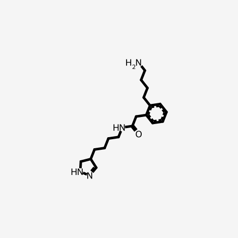 NCCCCc1ccccc1CC(=O)NCCCCC1C=NNC1